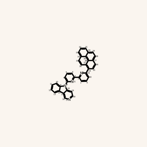 c1cc(-c2cccc(-n3c4ccccc4c4cnccc43)n2)nc(-c2ccc3ccc4cccc5ccc2c3c45)c1